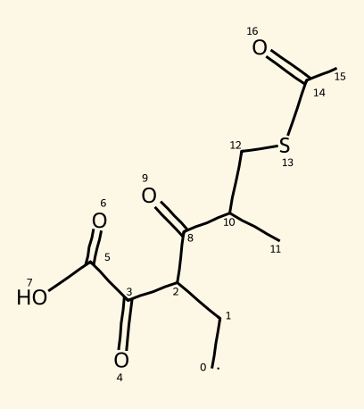 [CH2]CC(C(=O)C(=O)O)C(=O)C(C)CSC(C)=O